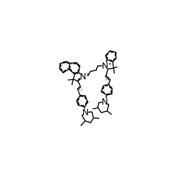 CC1CC(C)CN(c2ccc(/C=C/C3=[N+](CCCC[N+]4=C(/C=C/c5ccc(N6CC(C)CC(C)C6)cc5)C(C)(C)c5c4ccc4ccccc54)c4ccccc4C3(C)C)cc2)C1